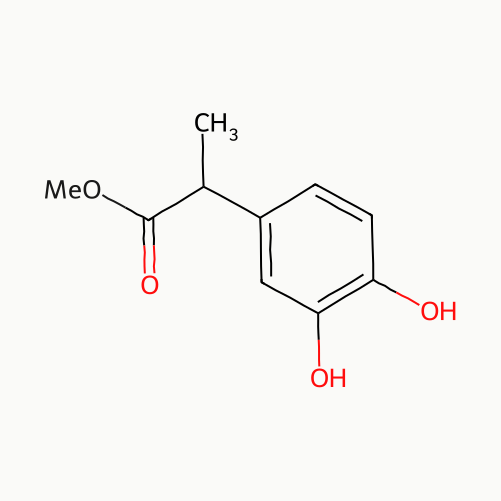 COC(=O)C(C)c1ccc(O)c(O)c1